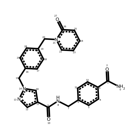 NC(=O)c1ccc(CNC(=O)c2cnn(Cc3ccc(Cn4ccccc4=O)cc3)c2)cc1